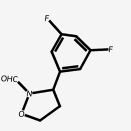 O=CN1OCCC1c1cc(F)cc(F)c1